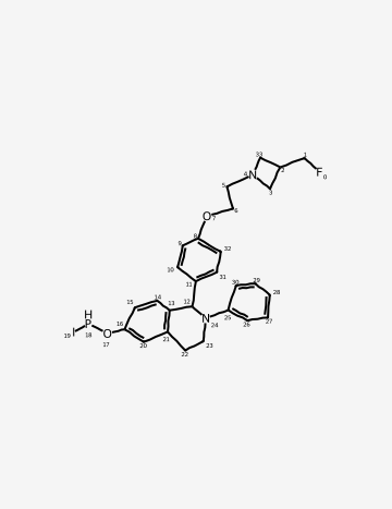 FCC1CN(CCOc2ccc(C3c4ccc(OPI)cc4CCN3c3ccccc3)cc2)C1